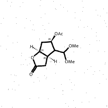 COC(OC)C1[C@H]2CC(=O)O[C@H]2C[C@H]1OC(C)=O